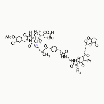 COc1ccc(C[C@@H]2C(=O)N[C@H](C(C)(C)C(=O)NC(CC(C)(C)C)C(=O)O)N2C(=O)/C=C/CC[C@H](C)C2OC2c2ccc(COC(=O)NCCNC(=O)[C@H](C)NC(=O)C(NC(=O)CCCC(=O)ON3C(=O)CCC3=O)C(C)C)cc2)cc1Cl